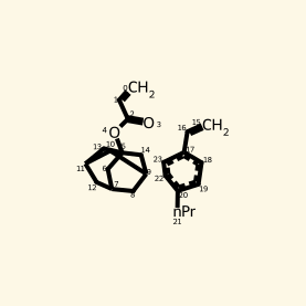 C=CC(=O)OC12CC3CC(CC(C3)C1)C2.C=Cc1ccc(CCC)cc1